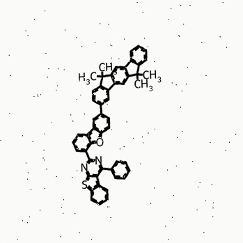 CC1(C)c2ccccc2-c2cc3c(cc21)-c1cc(-c2ccc4oc5c(-c6nc(-c7ccccc7)c7c(n6)sc6ccccc67)cccc5c4c2)ccc1C3(C)C